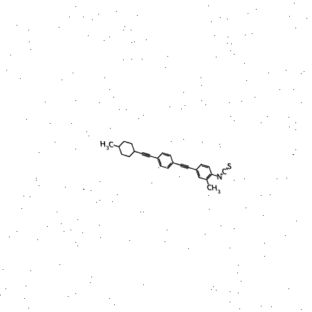 Cc1cc(C#Cc2ccc(C#CC3CCC(C)CC3)cc2)ccc1N=C=S